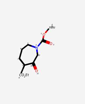 CCCCOC(=O)N1CCCC(C(=O)OCC)C(=O)C1